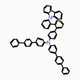 c1ccc(-c2ccc(-c3ccc(N(c4ccc(-c5ccc(-c6ccccc6)cc5)cc4)c4ccc(-c5ccccc5-c5ccccc5-n5c6ccccc6c6ccccc65)cc4)cc3)cc2)cc1